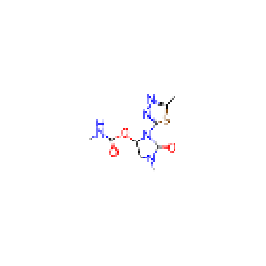 CNC(=O)OC1CN(C)C(=O)N1c1nnc(C)s1